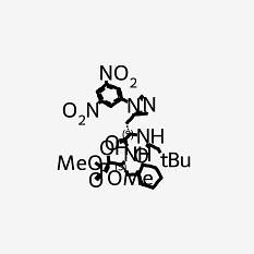 COP(=O)(OC)C(O)[C@H](CC1CCCCC1)NC(=O)[C@H](Cc1cncn1-c1cc([N+](=O)[O-])cc([N+](=O)[O-])c1)NC(=O)CC(C)(C)C